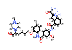 COc1cc(C(=O)N(C)c2ccc(C)cc2OCCCCC(C=O)N2CCN(C)CC2)ccc1NC(=O)c1cccc2[nH]c(C(N)=O)cc12